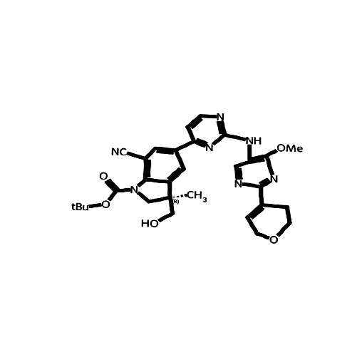 COc1nc(C2=CCOCC2)ncc1Nc1nccc(-c2cc(C#N)c3c(c2)[C@@](C)(CO)CN3C(=O)OC(C)(C)C)n1